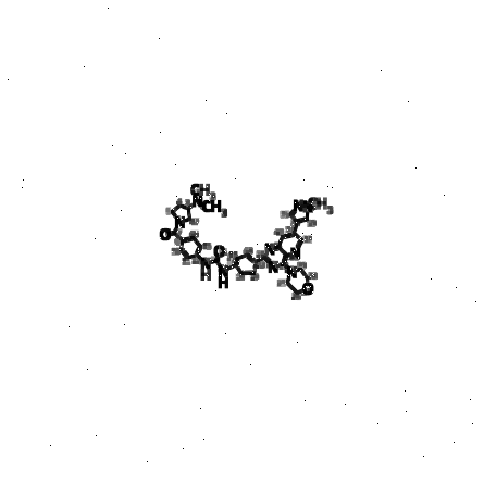 CN(C)C1CCN(C(=O)c2ccc(NC(=O)Nc3ccc(-c4nc(N5CCOCC5)c5ncc(-c6cnn(C)c6)cc5n4)cc3)cc2)C1